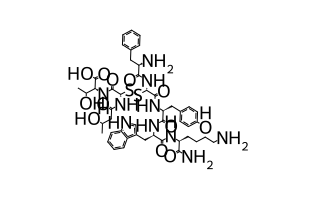 CC(O)CC(=O)N[C@@H](SS[C@H](NC(=O)[C@H](N)Cc1ccccc1)C(=O)N[C@@H](Cc1ccc(O)cc1)C(=O)N[C@H](Cc1c[nH]c2ccccc12)C(=O)N[C@@H](CCCCN)C(N)=O)C(=O)N[C@H](C(=O)O)C(C)O